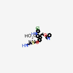 CN/C(=C\C=N)CSCCOc1ccc2c(c1)C1(CCC(Nc3cccc(Cl)c3)(C(=O)O)CC1)C(C[C@@H](C)COc1ccnc3c1CCCC3)C2